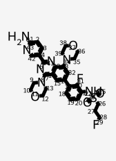 Nc1ccc(-c2nc(N3CCOCC3)c3cc(-c4cccc(NS(=O)(=O)CCCF)c4F)cc(N4CCOCC4)c3n2)cn1